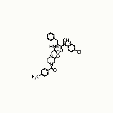 CN(C(=O)[C@H](Cc1ccccc1)NC(=O)CN1CCN(C(=O)c2ccc(C(F)(F)F)cc2)CC1=O)c1ccc(Cl)cc1